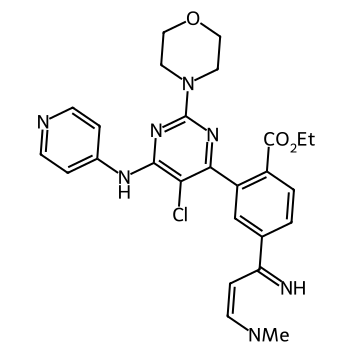 CCOC(=O)c1ccc(C(=N)/C=C\NC)cc1-c1nc(N2CCOCC2)nc(Nc2ccncc2)c1Cl